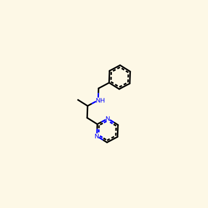 CC(Cc1ncccn1)NCc1ccccc1